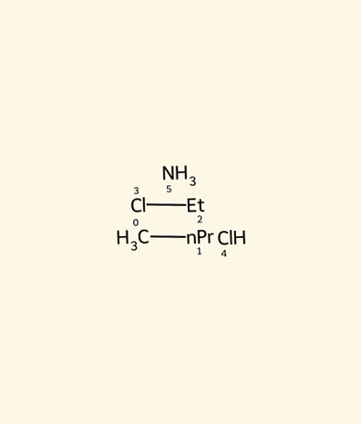 CCCC.CCCl.Cl.N